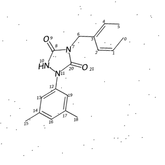 C/C=C\C(=C/C)Cn1c(=O)[nH]n(-c2cc(C)cc(C)c2)c1=O